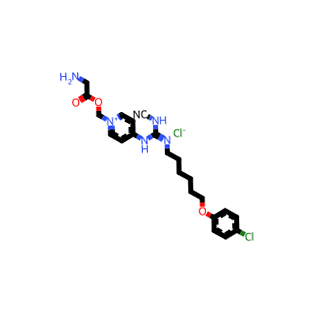 N#CN/C(=N/CCCCCCOc1ccc(Cl)cc1)Nc1cc[n+](COC(=O)CN)cc1.[Cl-]